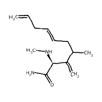 C=CC/C=C/CC(C)C(=C)[C@H](NC)C(N)=O